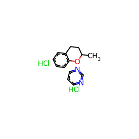 CC1CCc2ccccc2O1.Cl.Cl.c1cncnc1